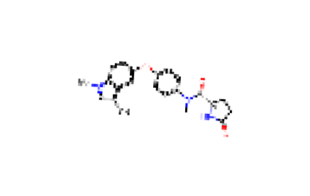 CCn1cc(C#N)c2cc(Oc3ccc(N(C)C(=O)[C@@H]4CCC(=O)N4)cc3)ccc21